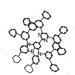 c1ccc(-c2cc(-c3ccccc3)cc(-c3cc(-c4cc(-c5ccccc5)cc(-c5ccccc5)c4)nc(-c4cc5c6c(c4)N(c4cc(-c7ccccc7)cc(-c7ccccc7)c4)c4ccc(C7CCCCC7)cc4B6c4cc(C6CCCCC6)ccc4N5c4cc(-c5ccccc5)cc(-c5ccccc5)c4)n3)c2)cc1